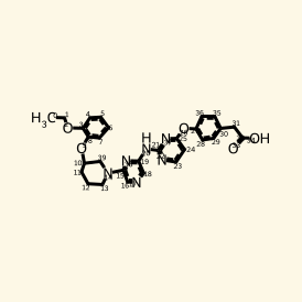 CCOc1ccccc1OC1CCCN(c2cncc(Nc3nccc(Oc4ccc(CC(=O)O)cc4)n3)n2)C1